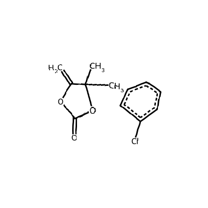 C=C1OC(=O)OC1(C)C.Clc1ccccc1